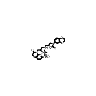 COc1ccc2ncc(=O)n(CC(CNCC3CN(c4ccc5c(c4)OCCO5)C(=O)O3)O[Si](C)(C)C(C)(C)C)c2n1